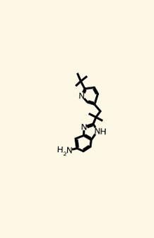 CC(C)(C)c1ccc(CC(C)(C)c2nc3cc(N)ccc3[nH]2)cn1